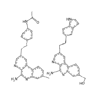 CC(=O)Nc1ccc(CCc2cnc3c(N)nc4cc(C)ccc4c3c2)cc1.Nc1nc2cc(CO)ccc2c2cc(CCc3ccc4[nH]ccc4c3)cnc12